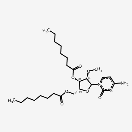 CCCCCCCC(=O)OC[C@H]1OC(n2ccc(N)nc2=O)[C@H](OC)[C@@H]1OC(=O)CCCCCCC